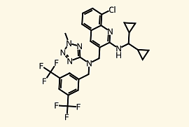 Cn1nnc(N(Cc2cc(C(F)(F)F)cc(C(F)(F)F)c2)Cc2cc3cccc(Cl)c3nc2NC(C2CC2)C2CC2)n1